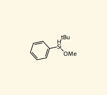 CO[SiH](c1ccccc1)C(C)(C)C